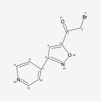 O=C(CBr)c1cc(-c2ccncc2)no1